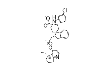 CC[C@H]1CCCc2nccc(OC[C@H](C)CC3Cc4ccccc4C34CCC(Nc3cccc(Cl)c3)(C(=O)OC)CC4)c21